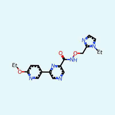 CCOc1ccc(-c2cncc(C(=O)NOCc3nccn3CC)n2)cn1